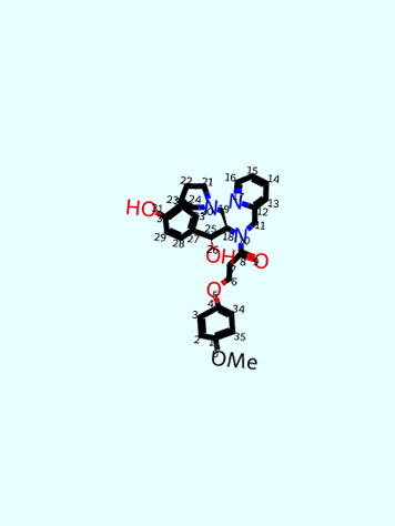 COc1ccc(OCCC(=O)N(Cc2ccccn2)[C@H](CN2CCCC2)[C@H](O)c2ccc(O)cc2)cc1